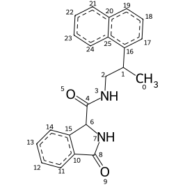 CC(CNC(=O)C1NC(=O)c2ccccc21)c1cccc2ccccc12